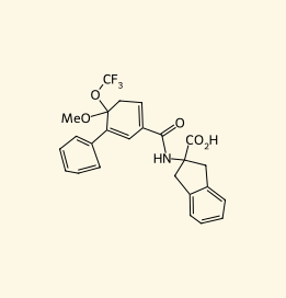 COC1(OC(F)(F)F)CC=C(C(=O)NC2(C(=O)O)Cc3ccccc3C2)C=C1c1ccccc1